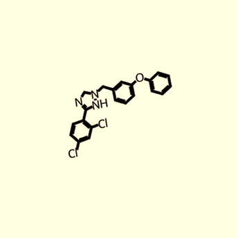 Clc1ccc(C2=NCN(Cc3cccc(Oc4ccccc4)c3)N2)c(Cl)c1